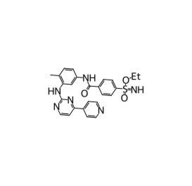 CCOS(=N)(=O)c1ccc(C(=O)Nc2ccc(C)c(Nc3nccc(-c4ccncc4)n3)c2)cc1